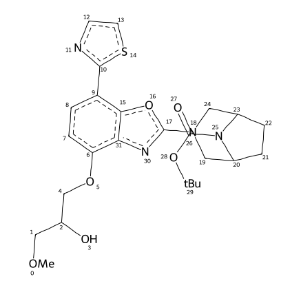 COCC(O)COc1ccc(-c2nccs2)c2oc(N3CC4CCC(C3)N4C(=O)OC(C)(C)C)nc12